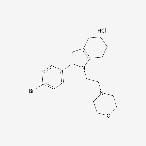 Brc1ccc(-c2cc3c(n2CCN2CCOCC2)CCCC3)cc1.Cl